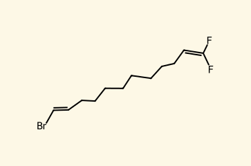 FC(F)=CCCCCCCCC/C=C/Br